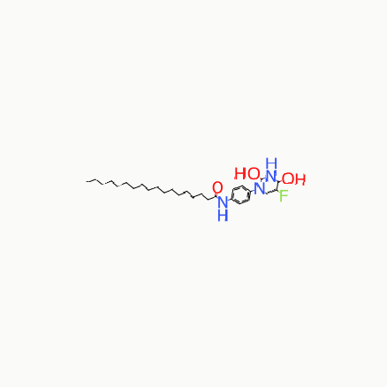 CCCCCCCCCCCCCCCCCC(=O)Nc1ccc(N2C=C(F)C(O)NC2O)cc1